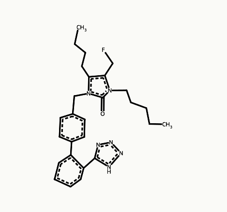 CCCCCn1c(CF)c(CCCC)n(Cc2ccc(-c3ccccc3-c3nnn[nH]3)cc2)c1=O